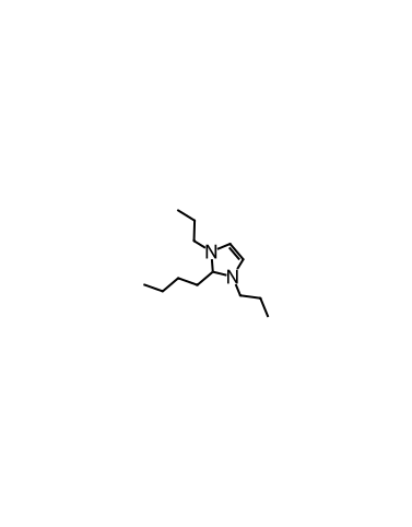 CCCCC1N(CCC)C=CN1CCC